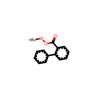 [CH2]CCCOOC(=O)c1ccccc1-c1ccccc1